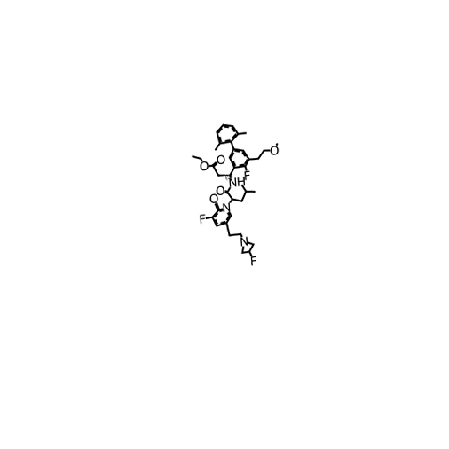 CCOC(=O)C[C@H](NC(=O)C(CC(C)C)n1cc(CCN2CC(F)C2)cc(F)c1=O)c1cc(-c2c(C)cccc2C)cc(CCOC)c1F